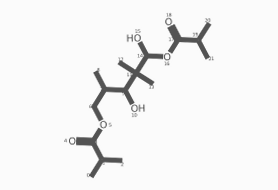 CC(C)C(=O)OCC(C)C(O)C(C)(C)C(O)OC(=O)C(C)C